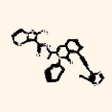 Cc1scnc1C#Cc1cccc2cc(C(C)NC(=O)c3c(N)nn4cccnc34)n(-c3ccccc3)c(=O)c12